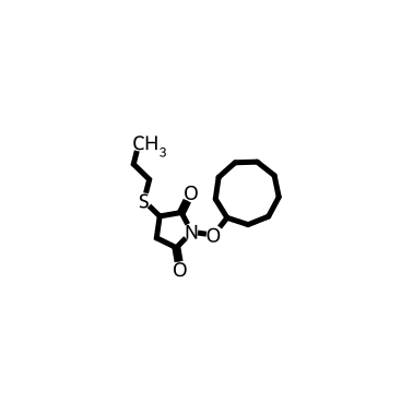 CCCSC1CC(=O)N(OC2CCCCCCCC2)C1=O